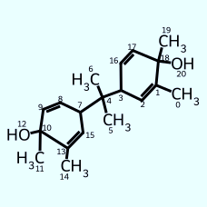 CC1=CC(C(C)(C)C2C=CC(C)(O)C(C)=C2)C=CC1(C)O